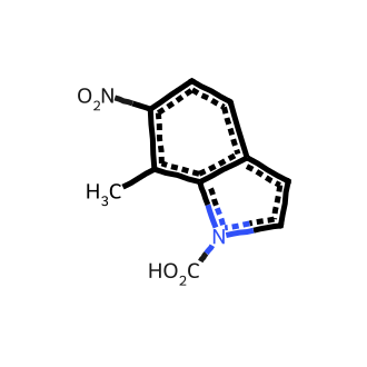 Cc1c([N+](=O)[O-])ccc2ccn(C(=O)O)c12